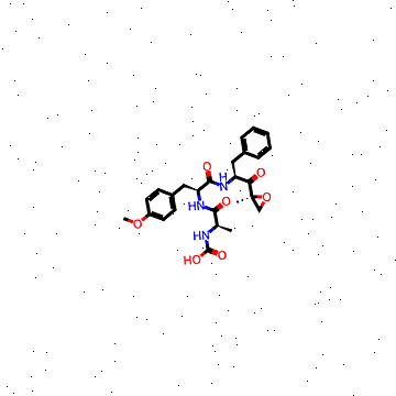 COc1ccc(C[C@H](NC(=O)[C@@H](C)NC(=O)O)C(=O)N[C@@H](Cc2ccccc2)C(=O)[C@]2(C)CO2)cc1